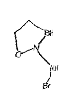 [Br][AlH][N]1BCCO1